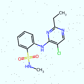 CCc1ncc(Cl)c(Nc2ccccc2S(=O)(=O)NC)n1